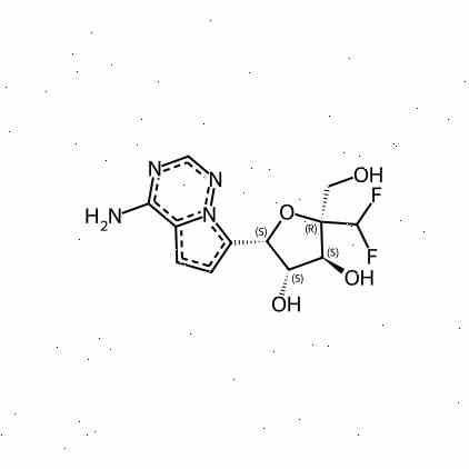 Nc1ncnn2c([C@@H]3O[C@@](CO)(C(F)F)[C@@H](O)[C@@H]3O)ccc12